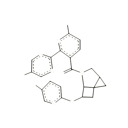 Cc1ccc(C(=O)N2CC3CC34CC(Nc3ccc(C(F)(F)F)cn3)C24)c(-c2ncc(F)cn2)n1